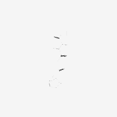 O=C(O)C(O)C(O)C(=O)OC(=O)[C@H]1CCCN1